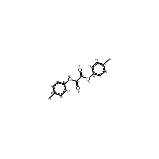 Cc1ccc(OC(=O)C(=O)Oc2ccc(C)cc2)cc1